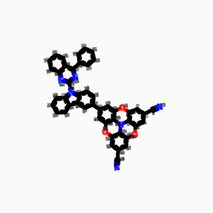 N#Cc1cc2c3c(c1)Oc1cc(-c4ccc5c(c4)c4ccccc4n5-c4nc(-c5ccccc5)c5ccccc5n4)cc4c1N3c1c(cc(C#N)cc1O4)O2